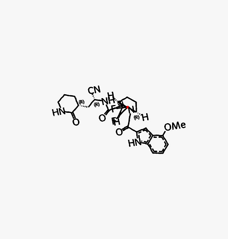 COc1cccc2[nH]c(C(=O)N3[C@@H]4CC[C@H]([C@H]3C(=O)N[C@@H](C#N)C[C@H]3CCCNC3=O)C(F)(F)C4)cc12